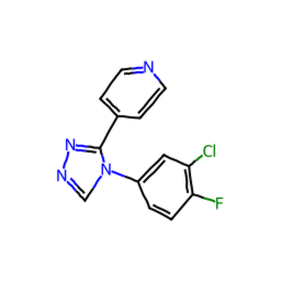 Fc1ccc(-n2cnnc2-c2ccncc2)cc1Cl